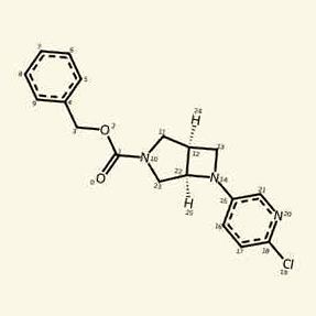 O=C(OCc1ccccc1)N1C[C@H]2CN(c3ccc(Cl)nc3)[C@H]2C1